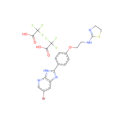 Brc1cnc2[nH]c(-c3ccc(OCCNC4=NCCS4)cc3)nc2c1.O=C(O)C(F)(F)F.O=C(O)C(F)(F)F